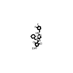 CCOc1cc(Cl)c(-c2nc3cnc(NCc4ccc(F)c(F)c4)nc3n2CC2CCCCC2)c(Cl)c1